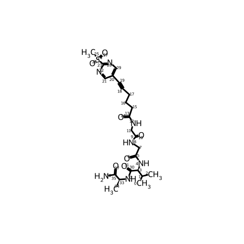 CC(C)[C@H](NC(=O)CNC(=O)CNC(=O)CCCC#Cc1cnc(S(C)(=O)=O)nc1)C(=O)N[C@@H](C)C(N)=O